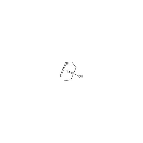 CCP(O)(=S)CC.N=C=S